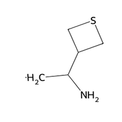 [CH2]C(N)C1CSC1